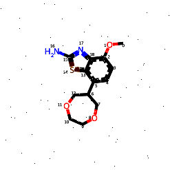 COc1ccc(C2COCCOC2)c2sc(N)nc12